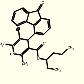 CCCC(CC)OC(=O)C1=C(C)NC(C)=C(C#N)C1c1cccc2c1-c1ccccc1C2=O